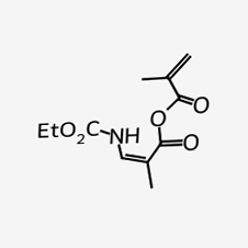 C=C(C)C(=O)OC(=O)C(C)=CNC(=O)OCC